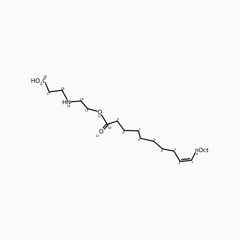 CCCCCCCC/C=C\CCCCCCCC(=O)OCCNCCC(=O)O